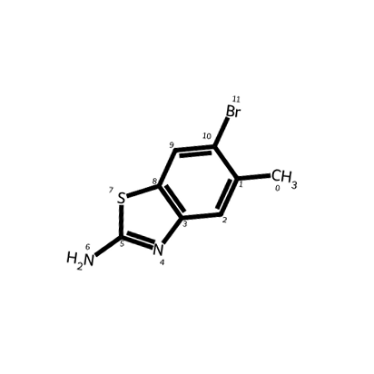 Cc1cc2nc(N)sc2cc1Br